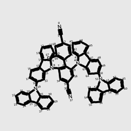 N#Cc1ccc(-c2c(-n3c4ccccc4c4ccc(-n5c6ccccc6c6ccccc65)cc43)cc(C#N)cc2-n2c3ccccc3c3ccc(-n4c5ccccc5c5ccccc54)cc32)c(F)c1